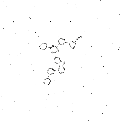 N#Cc1cccc(-c2cccc(-c3nc(-c4ccccc4)nc(-c4ccc5c(c4)sc4cccc(-c6cccc(-c7ccccc7)c6)c45)n3)c2)c1